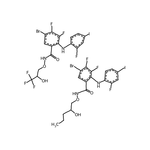 CCCC(O)CONC(=O)c1cc(Br)c(F)c(F)c1Nc1ccc(I)cc1F.O=C(NOCC(O)C(F)(F)F)c1cc(Br)c(F)c(F)c1Nc1ccc(I)cc1F